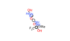 COc1c(CO)cc(C(F)(F)F)cc1NC(=O)N[C@H]1CC[C@H](Oc2ccnc(NCCO)n2)CC1